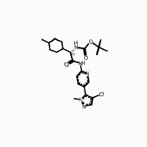 CC1CCC([C@H](NC(=O)OC(C)(C)C)C(=O)Nc2ccc(-c3c(Cl)cnn3C)cn2)CC1